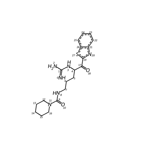 N=C(N)NC(CCCNC(=O)N1CCCCC1)C(=O)c1nc2ccccc2s1